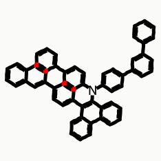 c1ccc(-c2ccc(N(c3ccc(-c4cccc(-c5ccccc5)c4)cc3)c3c(-c4ccc(-c5ccc6ccccc6c5)cc4)c4ccccc4c4ccccc34)cc2)cc1